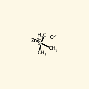 C[Si](C)(C)[Zn+2].[O-2]